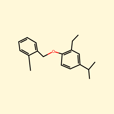 CCc1cc(C(C)C)ccc1OCc1ccccc1C